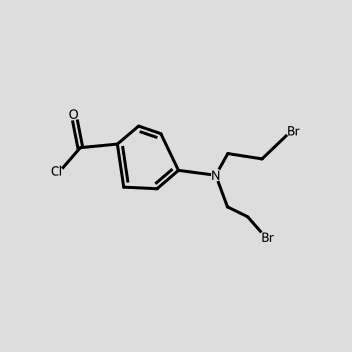 O=C(Cl)c1ccc(N(CCBr)CCBr)cc1